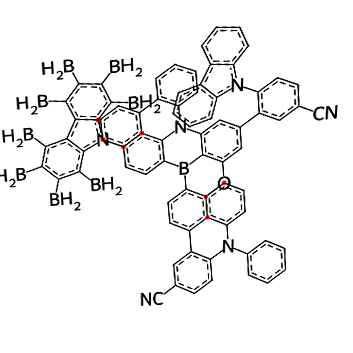 Bc1c(B)c(B)c2c(c1B)c1c(B)c(B)c(B)c(B)c1n2-c1ccc2c(c1)N(c1ccccc1-c1ccccc1)c1cc(-c3cc(C#N)ccc3-n3c4ccccc4c4ccccc43)cc3c1B2c1ccc(-c2cc(C#N)ccc2N(c2ccccc2)c2ccccc2)cc1O3